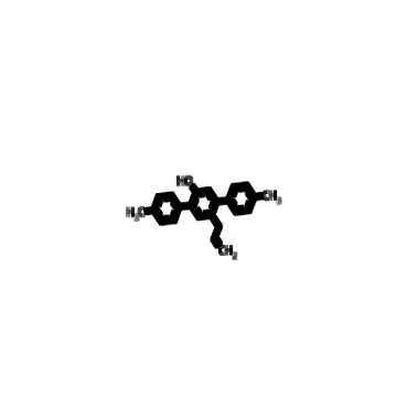 C=CCc1cc(-c2ccc(C)cc2)c(O)cc1-c1ccc(C)cc1